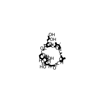 C=C1C[C@@H]2CCC(=O)C[C@H]3O[C@H]4[C@@H](O)[C@H]5OC(CC[C@@H]5O[C@H]4[C@H]3O)CC(=O)C[C@@H]3[C@@H](C)[C@@H](C[C@H](O)CO)O[C@H]3CC3O[C@@H](CCC1O2)C[C@@H](C)C3=C